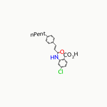 CCCCCc1ccc(/C=C/C(=O)Nc2cc(Cl)ccc2C(=O)O)cc1